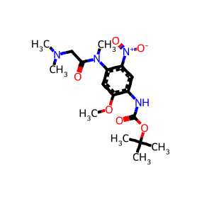 COc1cc(N(C)C(=O)CN(C)C)c([N+](=O)[O-])cc1NC(=O)OC(C)(C)C